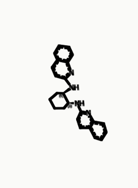 c1ccc2nc(N[C@@H]3CCCC[C@H]3Nc3ccc4ccccc4n3)ccc2c1